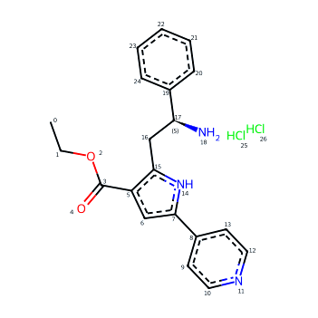 CCOC(=O)c1cc(-c2ccncc2)[nH]c1C[C@H](N)c1ccccc1.Cl.Cl